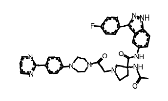 CC(=O)NC1(C(=O)Nc2ccc3[nH]nc(-c4ccc(F)cc4)c3c2)CCN(CC(=O)N2CCN(c3ccc(-c4ncccn4)cc3)CC2)C1